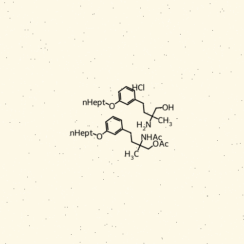 CCCCCCCOc1cccc(CCC(C)(COC(C)=O)NC(C)=O)c1.CCCCCCCOc1cccc(CCC(C)(N)CO)c1.Cl